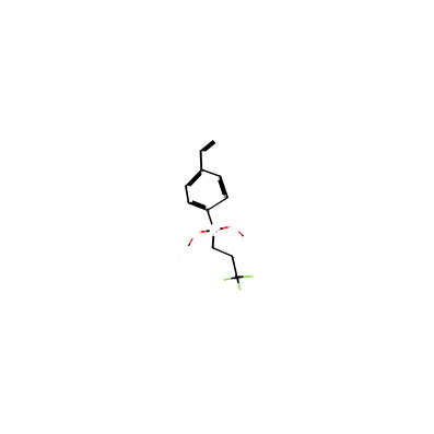 C=Cc1ccc([Si](CCC(F)(F)F)(OC)OC)cc1